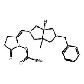 CNC(=O)ON1C(=O)CC/C1=C/N1C[C@@H]2CN(Cc3ccccc3)C[C@@H]2C1